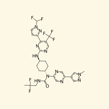 Cn1cc(-c2cnc(N(C(=O)NCC(C)(F)F)[C@H]3CC[C@H](Nc4ncc(C(F)(F)F)c(-c5ccn(C(F)F)n5)n4)CC3)cn2)cn1